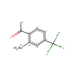 CC(=O)c1ccc(C(F)(F)F)cc1[AsH2]